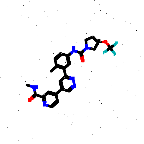 CNC(=O)c1cc(-c2cnnc(-c3cc(NC(=O)N4CC[C@@H](OC(F)(F)F)C4)ccc3C)c2)ccn1